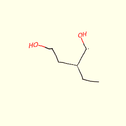 CCC([CH]O)CCO